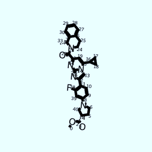 COC(=O)[C@H]1CCN(c2ccc(-c3cn4c(C5CC5)cc(C(=O)N5CCc6ccccc6[C@H]5C)nc4n3)c(F)c2)C1